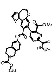 CCCNC(=O)c1ccc(-c2cc3c(cc2C(=O)Nc2ccc4c(c2)CCN(C(=O)OC(C)(C)C)C4)-c2sccc2CCO3)c(C(=O)OC)n1